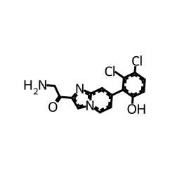 NCC(=O)c1cn2ccc(-c3c(O)ccc(Cl)c3Cl)cc2n1